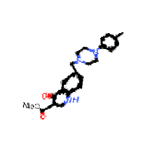 COC(=O)c1c[nH]c2ccc(CN3CCN(c4ccc(C)cc4)CC3)cc2c1=O